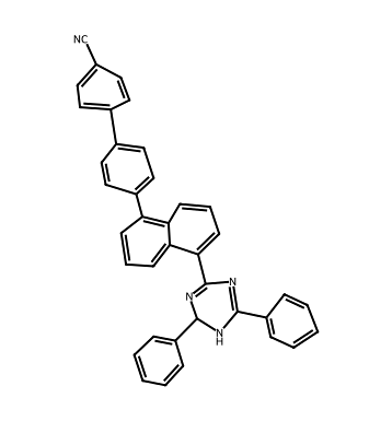 N#Cc1ccc(-c2ccc(-c3cccc4c(C5=NC(c6ccccc6)NC(c6ccccc6)=N5)cccc34)cc2)cc1